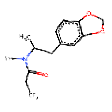 CCN(C(=O)CC(F)(F)F)C(C)Cc1ccc2c(c1)OCO2